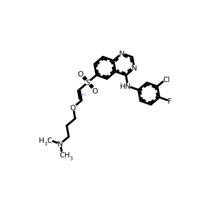 CN(C)CCCO/C=C/S(=O)(=O)c1ccc2ncnc(Nc3ccc(F)c(Cl)c3)c2c1